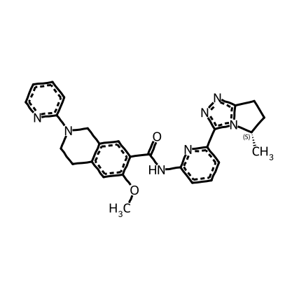 COc1cc2c(cc1C(=O)Nc1cccc(-c3nnc4n3[C@@H](C)CC4)n1)CN(c1ccccn1)CC2